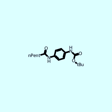 CCCCCC(=O)Nc1ccc(NC(=O)OC(C)(C)C)cc1